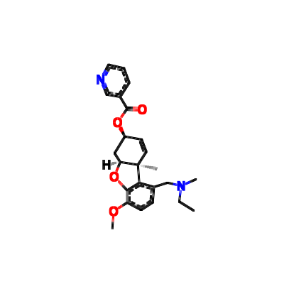 CCN(C)Cc1ccc(OC)c2c1[C@]1(C)C=C[C@H](OC(=O)c3cccnc3)C[C@@H]1O2